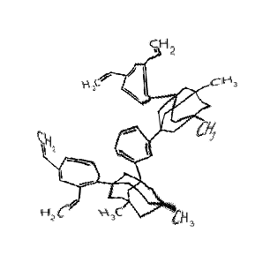 C=Cc1ccc(C23CC4(C)CC(C)(CC(c5cccc(C67CC8(C)CC(C)(C6)CC(c6ccc(C=C)cc6C=C)(C8)C7)c5)(C4)C2)C3)c(C=C)c1